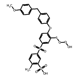 COc1ccc(Cc2ccc(Oc3ccc(S(=O)(=O)c4ccc(C)c(S(=O)(=O)O)c4)cc3SOOO)cc2)cc1